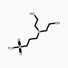 NS(=O)(=O)CCCN(CCO)CCO